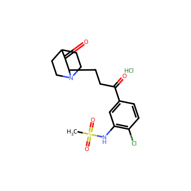 CS(=O)(=O)Nc1cc(C(=O)CCC2C(=O)C3CCN2CC3)ccc1Cl.Cl